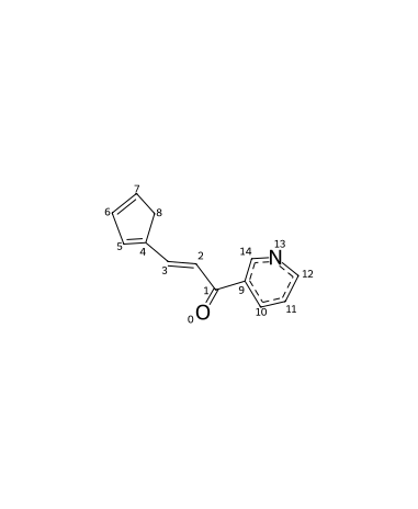 O=C(/C=C/C1=CC=CC1)c1cccnc1